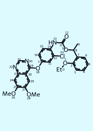 CCOc1ccccc1C(C)OC(=O)Nc1ccc(Oc2ncnc3cc(OC)c(OC)cc23)cc1Cl